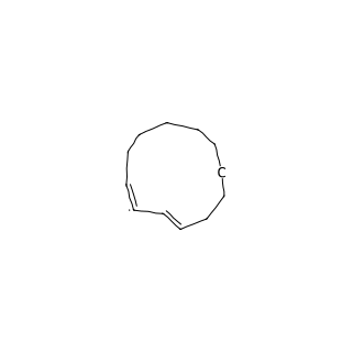 [C]1=C\CCCCCCCC/C=C/1